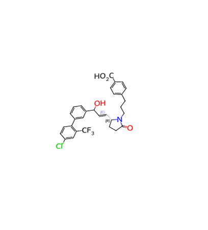 O=C(O)c1ccc(CCCN2C(=O)CC[C@@H]2/C=C/C(O)c2cccc(-c3ccc(Cl)cc3C(F)(F)F)c2)cc1